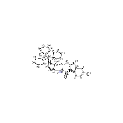 Cc1c2n(c3ccc(Cl)cc13)C(=O)/C(=C/c1ncn(C(c3ccccc3)(c3ccccc3)c3ccccc3)c1C)CC2